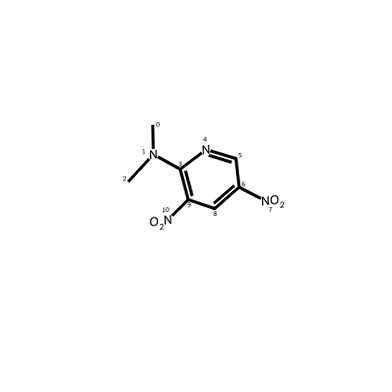 CN(C)c1ncc([N+](=O)[O-])cc1[N+](=O)[O-]